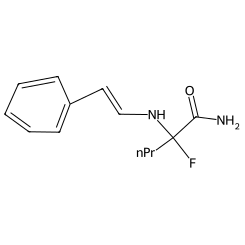 CCCC(F)(NC=Cc1ccccc1)C(N)=O